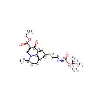 CCOC(=O)c1cn2c3c(cc(SCCNC(=O)OC(C)(C)C)cc3c1=O)CC[C@H]2C